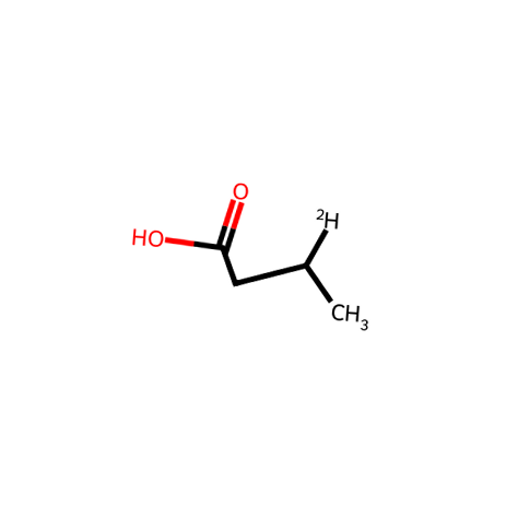 [2H]C(C)CC(=O)O